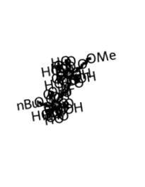 CCCCOCCO[C@H]1[C@H](OP(=O)(O)O)[C@@H](OCCOC(F)(F)CO[C@H]2[C@H](OP(=O)(O)O)[C@@H](OCCOCCOC)[C@H](OP(=O)(O)O)[C@@H](OP(=O)(O)O)[C@@H]2OP(=O)(O)O)[C@H](OP(=O)(O)O)[C@H](OP(=O)(O)O)[C@@H]1OP(=O)(O)O